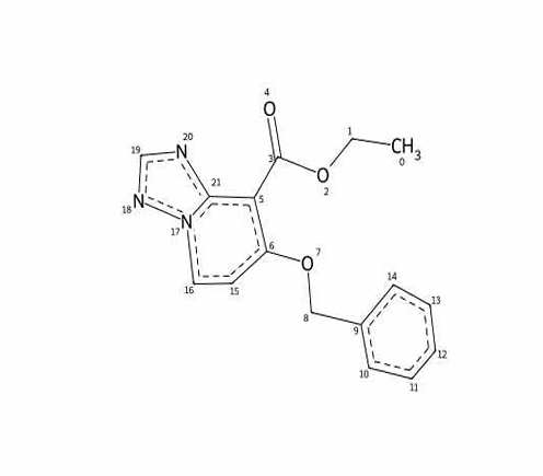 CCOC(=O)c1c(OCc2ccccc2)ccn2ncnc12